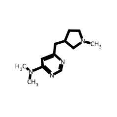 CN1CCC(Cc2cc(N(C)C)ncn2)C1